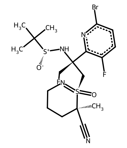 CC(C)(C)[S@@+]([O-])N[C@@](CF)(C[S@]1(=O)=NCCC[C@]1(C)C#N)c1nc(Br)ccc1F